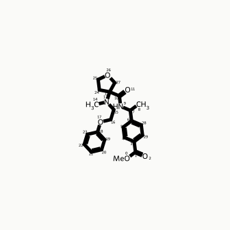 COC(=O)c1ccc(C(C)NC(=O)C2(N(C)CCOc3ccccc3)CCOC2)cc1